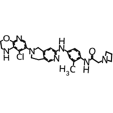 Cc1cc(Nc2cc3c(cn2)CCN(c2cnc4c(c2Cl)NCCO4)C3)ccc1NC(=O)CN1CCC1